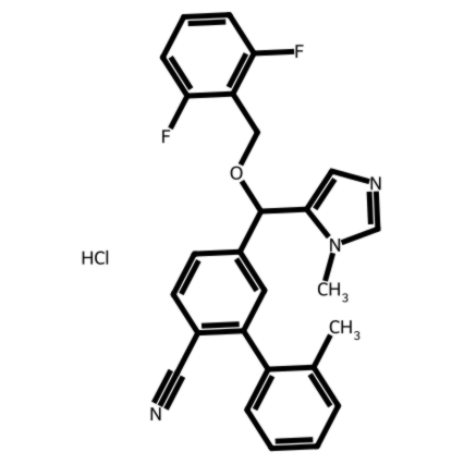 Cc1ccccc1-c1cc(C(OCc2c(F)cccc2F)c2cncn2C)ccc1C#N.Cl